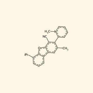 Cc1cc2c(oc3c(C(C)C)cccc32)c(C#N)c1-c1cccc[n+]1C